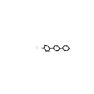 Oc1ccc(-c2ccc(-c3ccccc3)cc2)c(F)c1F